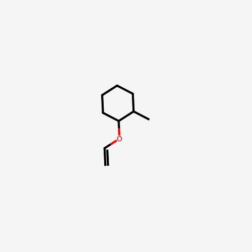 C=COC1CCCCC1C